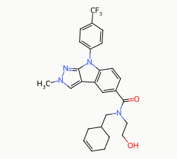 Cn1cc2c3cc(C(=O)N(CCO)CC4CC=CCC4)ccc3n(-c3ccc(C(F)(F)F)cc3)c2n1